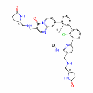 CCNc1nc(-c2cccc(-c3cccc(-c4ccn5c(=O)c(CNC[C@H]6CCC(=O)N6)cnc5c4)c3C)c2Cl)ccc1CNC[C@H]1CCC(=O)N1